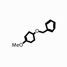 COC1=CCC(OCc2ccccc2)CC1